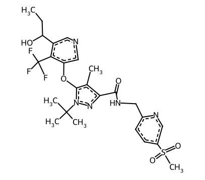 CCC(O)c1cncc(Oc2c(C)c(C(=O)NCc3ccc(S(C)(=O)=O)cn3)nn2C(C)(C)C)c1C(F)(F)F